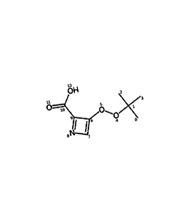 CC(C)(C)OOC1=CN=C1C(=O)O